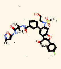 CNC(=O)c1c(-c2ccc(F)cc2)oc2cc(N(CCO)S(C)(=O)=O)c(-c3cccc(C(=O)NC(C)(C)C(=O)Nc4cc(C)no4)c3)cc12